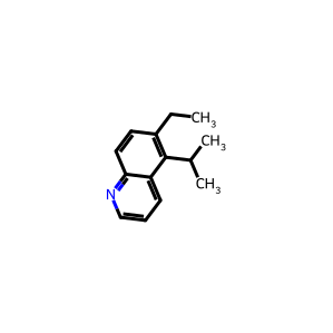 CCc1ccc2ncccc2c1C(C)C